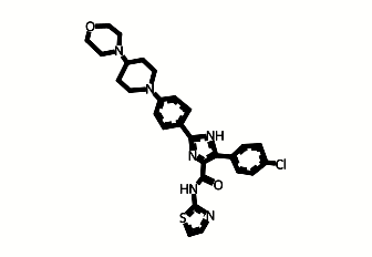 O=C(Nc1nccs1)c1nc(-c2ccc(N3CCC(N4CCOCC4)CC3)cc2)[nH]c1-c1ccc(Cl)cc1